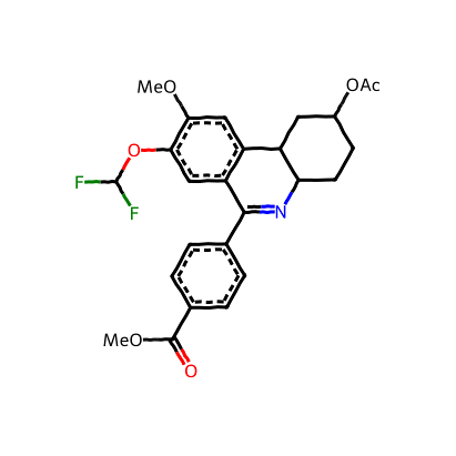 COC(=O)c1ccc(C2=NC3CCC(OC(C)=O)CC3c3cc(OC)c(OC(F)F)cc32)cc1